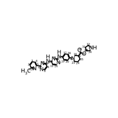 Cc1cccc(-c2nccc(Nc3ccnc(Nc4ccc(N5CCCC(C(=O)O[C@@H]6CCNC6)C5)cc4)n3)n2)n1